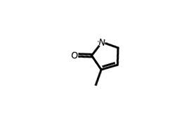 CC1=CC[N]C1=O